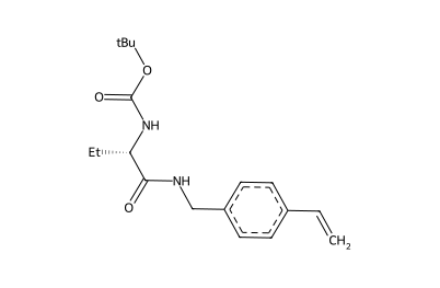 C=Cc1ccc(CNC(=O)[C@H](CC)NC(=O)OC(C)(C)C)cc1